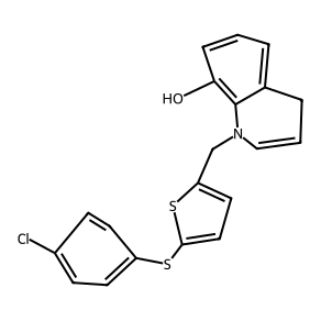 Oc1cccc2c1N(Cc1ccc(Sc3ccc(Cl)cc3)s1)C=CC2